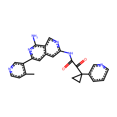 Cc1ccncc1-c1cc2cc(NC(=O)C(=O)C3(c4cccnc4)CC3)ncc2c(N)n1